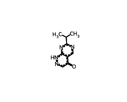 CC(C)c1ncc2c(=O)cn[nH]c2n1